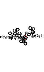 CCCCCCCCC1(CCCCCCCC)c2cc(N(c3ccc4c(c3)C(CCCCCCC)(CCCCCCC)c3c5c(c6oc7ccccc7c6c3-4)-c3ccccc3C5(CCCCCCC)CCCCCCC)c3cccc4c5ccccc5n(-c5ccccc5)c34)ccc2-c2cc3c(cc21)-c1c(ccc2oc4ccccc4c12)C3(CCCCCCCC)CCCCCCCC